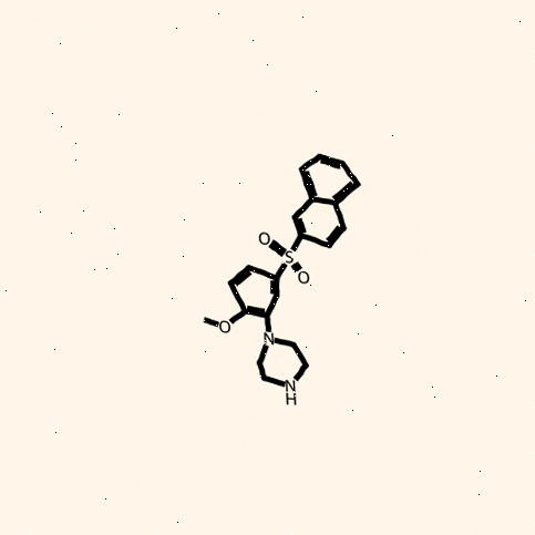 COc1ccc(S(=O)(=O)c2ccc3ccccc3c2)cc1N1CCNCC1